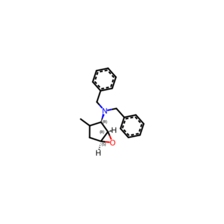 CC1C[C@@H]2O[C@@H]2[C@@H]1N(Cc1ccccc1)Cc1ccccc1